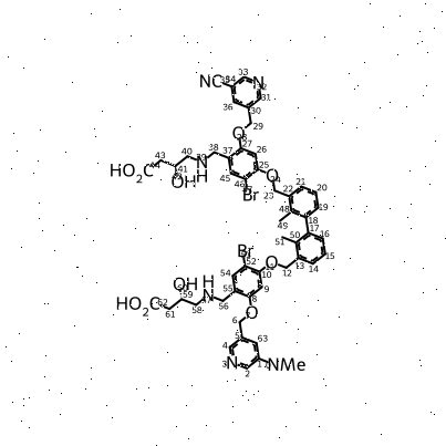 CNc1cncc(COc2cc(OCc3cccc(-c4cccc(COc5cc(OCc6cncc(C#N)c6)c(CNC[C@@H](O)CC(=O)O)cc5Br)c4C)c3C)c(Br)cc2CNC[C@@H](O)CC(=O)O)c1